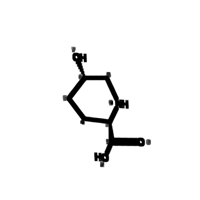 O=C(O)[C@H]1CC[C@H](O)CN1